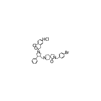 Cl.O=C(Cc1ccccc1Cl)N1CC(CN2CCC3(CC2)CCN(Cc2ccc(Br)cc2)C3=O)C(c2ccccc2)C1